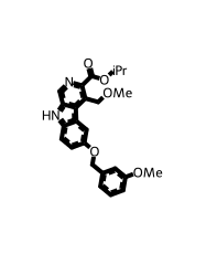 COCc1c(C(=O)OC(C)C)ncc2[nH]c3ccc(OCc4cccc(OC)c4)cc3c12